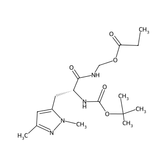 CCC(=O)OCNC(=O)[C@@H](Cc1cc(C)nn1C)NC(=O)OC(C)(C)C